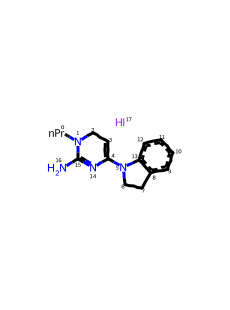 CCCN1CC=C(N2CCc3ccccc32)N=C1N.I